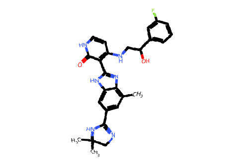 Cc1cc(C2=NCC(C)(C)N2)cc2[nH]c(-c3c(NCC(O)c4cccc(F)c4)cc[nH]c3=O)nc12